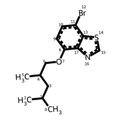 CC(C)CC(C)COc1ccc(Br)c2scnc12